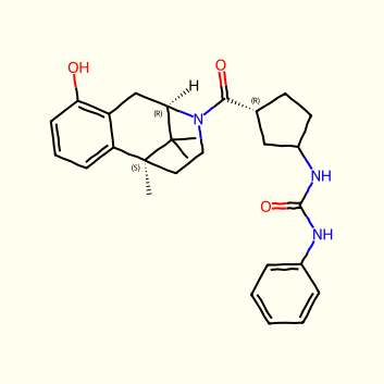 CC1(C)[C@H]2Cc3c(O)cccc3[C@]1(C)CCN2C(=O)[C@@H]1CCC(NC(=O)Nc2ccccc2)C1